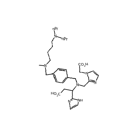 CCCN(CCC)CCCCN(C)Cc1ccc(CN(Cc2nccn2CC(=O)O)C(CC(=O)O)c2ncc[nH]2)cc1